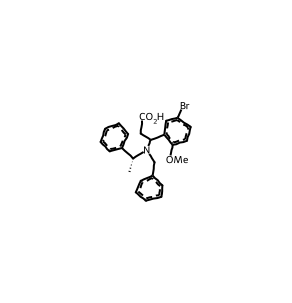 COc1ccc(Br)cc1C(CC(=O)O)N(Cc1ccccc1)[C@H](C)c1ccccc1